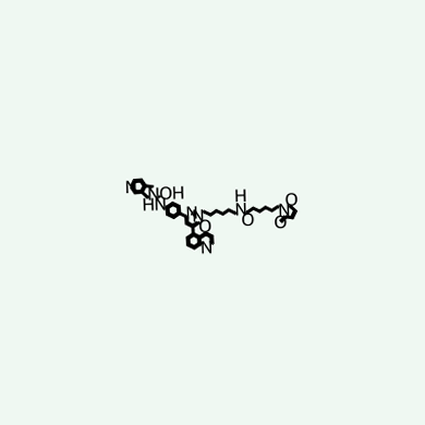 O=C(CCCCCN1C(=O)C=CC1=O)NCCCCCCn1nc(-c2ccc(NC(O)N3Cc4ccncc4C3)cc2)cc(-c2cccc3ncccc23)c1=O